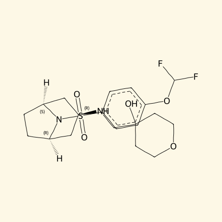 O=S(=O)(c1ccc(OC(F)F)cc1)N1[C@@H]2CC[C@H]1C[C@@H](NCC1(O)CCOCC1)C2